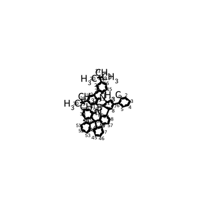 Cc1ccccc1-c1cc2c3c(c1)-n1c4ccc(C(C)(C)C)cc4c4cc(C(C)(C)C)cc(c41)B3N1c3ccccc3C(c3ccccc3)(c3ccccc3)c3cccc-2c31